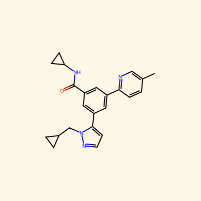 Cc1ccc(-c2cc(C(=O)NC3CC3)cc(-c3ccnn3CC3CC3)c2)nc1